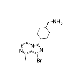 Cc1nccn2c1c(Br)nc2[C@H]1CC[C@H](CN)CC1